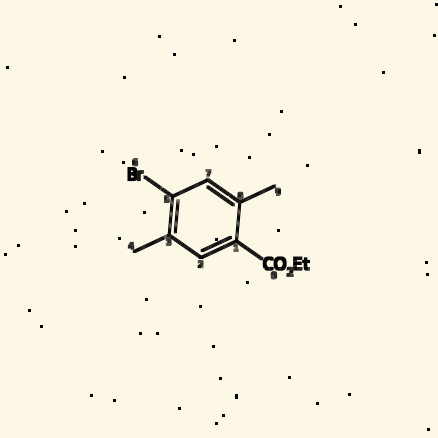 CCOC(=O)c1cc(C)c(Br)cc1C